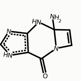 NC12C=CN1C(=O)c1[nH]cnc1N2